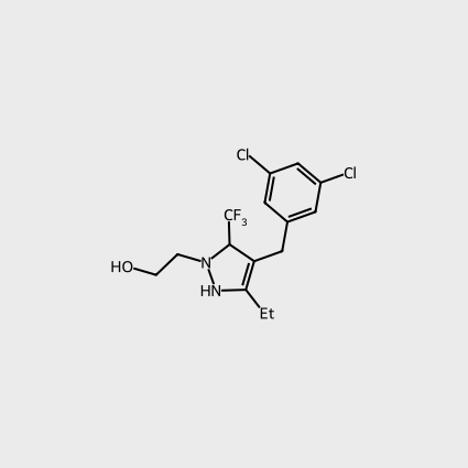 CCC1=C(Cc2cc(Cl)cc(Cl)c2)C(C(F)(F)F)N(CCO)N1